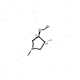 CC(C)O[C@@H]1CN(C)C[C@H]1C